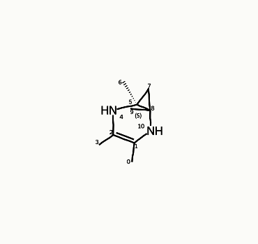 CC1=C(C)N[C@@]2(C)CC2(C)N1